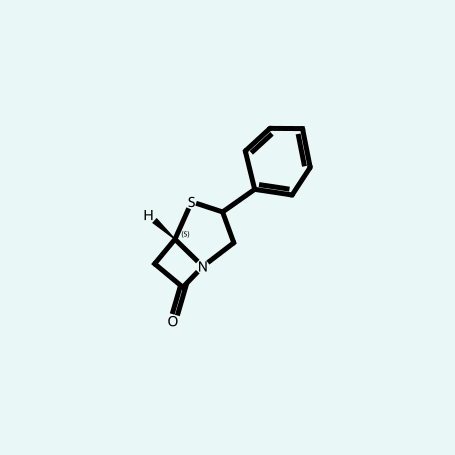 O=C1C[C@@H]2SC(c3ccccc3)CN12